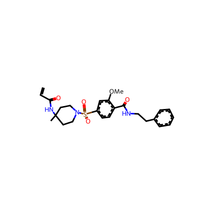 C=CC(=O)NC1(C)CCN(S(=O)(=O)c2ccc(C(=O)NCCc3ccccc3)c(OC)c2)CC1